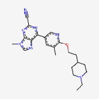 CCN1CCC(CCOc2ncc(-c3nc(C#N)nc4c3ncn4C)cc2C)CC1